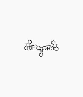 OC1(C#CCc2ccc3c(c2)c2cc(CC#CC4(O)c5ccccc5Cc5ccccc54)ccc2n3-c2ccccc2)c2ccccc2Cc2ccccc21